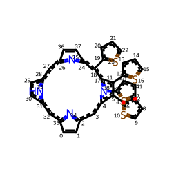 C1=Cc2cc3c(-c4cccs4)c(-c4cccs4)c(c(-c4cccs4)c4nc(cc5ccc(cc1n2)[nH]5)C=C4)n3-c1cccs1